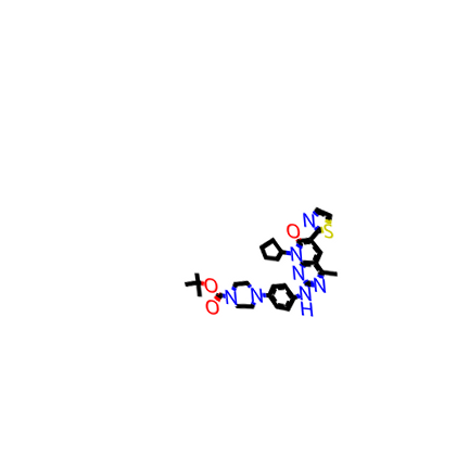 Cc1nc(Nc2ccc(N3CCN(C(=O)OC(C)(C)C)CC3)cc2)nc2c1cc(-c1nccs1)c(=O)n2C1CCCC1